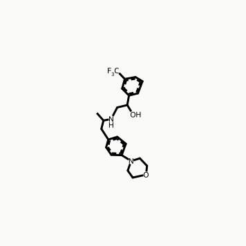 CC(Cc1ccc(N2CCOCC2)cc1)NCC(O)c1cccc(C(F)(F)F)c1